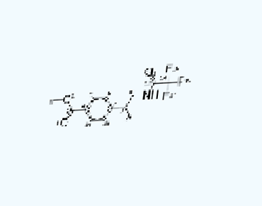 COC(=O)c1ccc([C@H](C)CNC(=O)C(F)(F)F)cc1